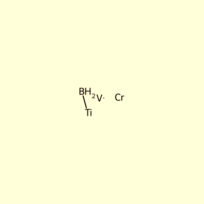 [BH2][Ti].[Cr].[V]